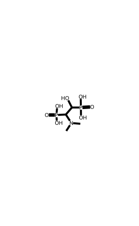 CN(C)C(C(O)P(=O)(O)O)P(=O)(O)O